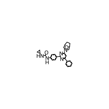 O=C(Nc1ccc(-c2nc(-c3ccccc3)cc(N3CC4CCC(C3)O4)n2)cc1)NC1CC1